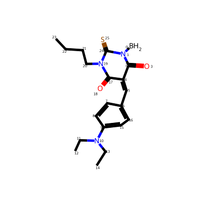 BN1C(=O)/C(=C/c2ccc(N(CC)CC)cc2)C(=O)N(CCCC)C1=S